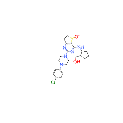 [O-][S+]1CCc2nc(N3CCN(c4ccc(Cl)cc4)CC3)nc(NC3CCCC3CO)c21